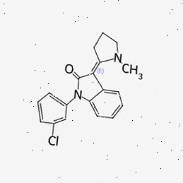 CN1CCC/C1=C1\C(=O)N(c2cccc(Cl)c2)c2ccccc21